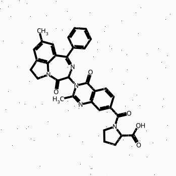 Cc1cc2c3c(c1)C(c1ccccc1)=NC(n1c(C)nc4cc(C(=O)N5CCCC5C(=O)O)ccc4c1=O)C(=O)N3CC2